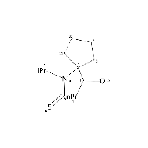 CCCC(=O)C1(N(C=S)C(C)C)CCCC1